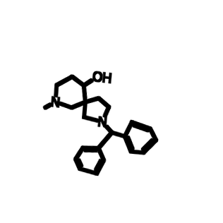 CN1CCC(O)C2(CCN(C(c3ccccc3)c3ccccc3)C2)C1